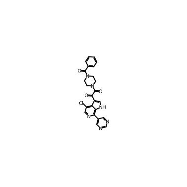 O=C(C(=O)N1CCN(C(=O)c2ccccc2)CC1)c1c[nH]c2c(-c3cncnc3)ncc(Cl)c12